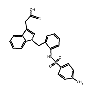 Cc1ccc(S(=O)(=O)Nc2ccccc2Cn2cc(CC(=O)O)c3ccccc32)cc1